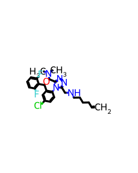 C=CCCCCNCc1nnc(CN(C)C)n1-c1ccc(Cl)cc1C(=O)c1c(F)cccc1F